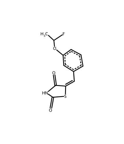 CC(F)Oc1cccc(/C=C2/SC(=O)NC2=O)c1